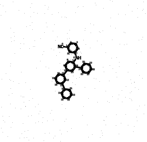 N#Cc1cccc(Nc2ccc(-c3cccc(-c4ccccc4)c3)cc2-c2ccccc2)c1